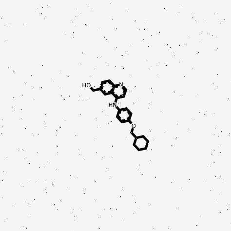 OCc1ccc2nccc(Nc3ccc(OCC4CCCCC4)cc3)c2c1